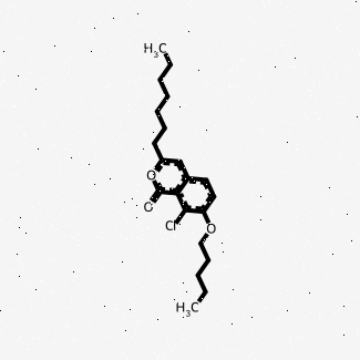 CCCCCCCc1cc2ccc(OCCCCC)c(Cl)c2c(=O)o1